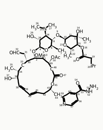 CO[C@@H]1[C@@H](O[C@@H]2O[C@H](C)[C@@H](O[C@H]3C[C@@](C)(O)[C@@H](OC(=O)CC(C)C)[C@H](C)O3)[C@H](N(C)C)[C@H]2O)[C@@H](CC=O)C[C@@H](C)[C@@H](O)/C=C/C=C/C[C@@H](C)OC(=O)C[C@H]1OC(C)=O.NNC(=O)c1ccncc1